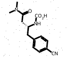 CN(C)C(=O)C[C@@H](Cc1ccc(C#N)cc1)NC(=O)O